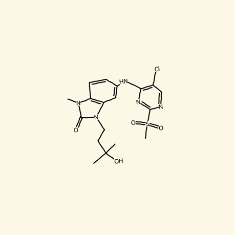 Cn1c(=O)n(CCC(C)(C)O)c2cc(Nc3nc(S(C)(=O)=O)ncc3Cl)ccc21